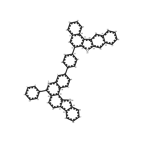 c1ccc(-c2nc3cc(-c4ccc(-c5cc6ccccc6c6c5oc5cc7ccccc7cc56)cc4)ccc3c3c2ccc2c4ccccc4oc23)cc1